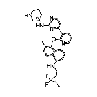 Cc1ccc2c(NCC3C(C)C3(F)F)cccc2c1Oc1ncccc1-c1ccnc(N[C@H]2CCCNC2)n1